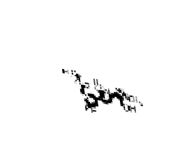 CCOC(=O)CN1CC(c2ccc(-c3nnn(C)c3CO)nc2C)CC(F)(F)C1